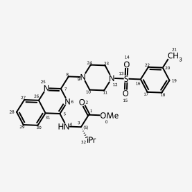 COC(=O)[C@@H](Nc1nc(CN2CCN(S(=O)(=O)c3cccc(C)c3)CC2)nc2ccccc12)C(C)C